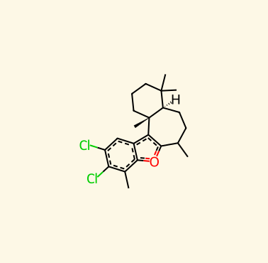 Cc1c(Cl)c(Cl)cc2c3c(oc12)C(C)CC[C@@H]1C(C)(C)CCC[C@@]31C